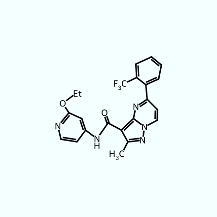 CCOc1cc(NC(=O)c2c(C)nn3ccc(-c4ccccc4C(F)(F)F)nc23)ccn1